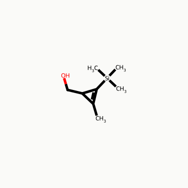 CC1=C([Si](C)(C)C)C1CO